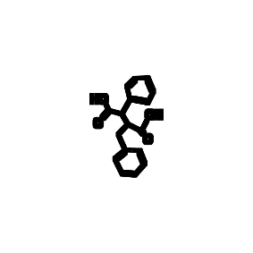 O=C(O)C(Cc1ccccc1)C(C(=O)O)c1ccccc1